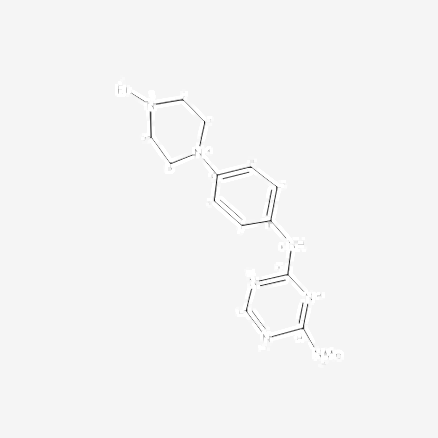 CCN1CCN(c2ccc(Nc3ncnc(NC)n3)cc2)CC1